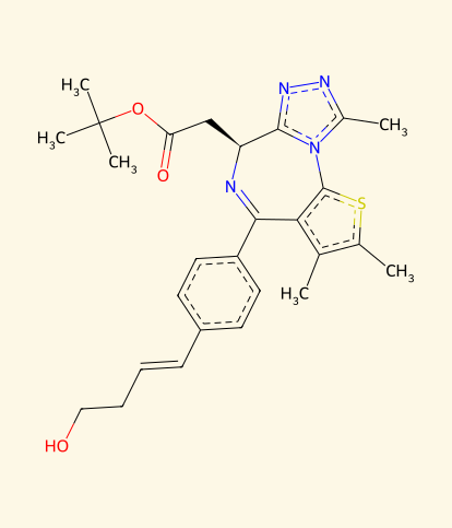 Cc1sc2c(c1C)C(c1ccc(/C=C/CCO)cc1)=N[C@@H](CC(=O)OC(C)(C)C)c1nnc(C)n1-2